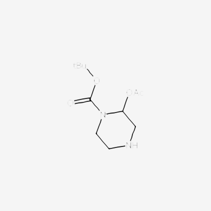 CC(=O)OC1CNCCN1C(=O)OC(C)(C)C